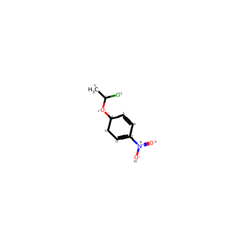 CC(Cl)OC1C=CC([N+](=O)[O-])=CC1